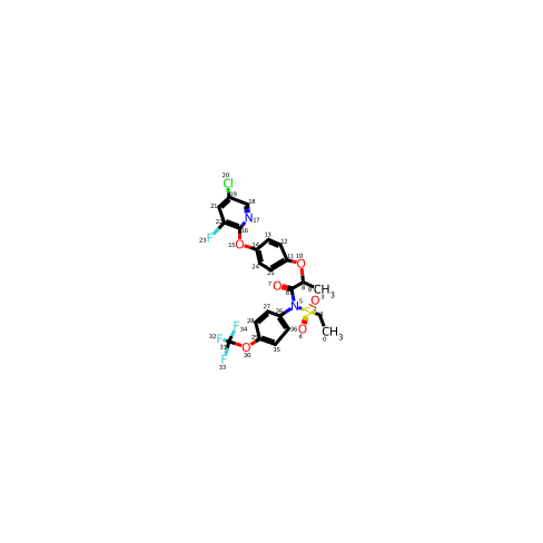 CCS(=O)(=O)N(C(=O)C(C)Oc1ccc(Oc2ncc(Cl)cc2F)cc1)c1ccc(OC(F)(F)F)cc1